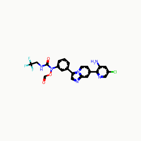 Nc1cc(Cl)cnc1-c1ccn2c(-c3cccc(N(OC=O)C(=O)NCC(F)(F)F)c3)cnc2c1